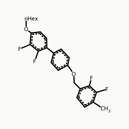 CCCCCCOc1ccc(-c2ccc(OCc3ccc(C)c(F)c3F)cc2)c(F)c1F